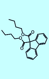 CCCCOC(=O)C1(C(=O)OCCCC)c2ccccc2-c2ccccc21